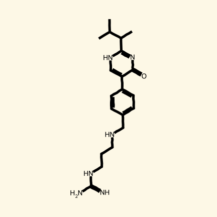 CC(C)C(C)c1nc(=O)c(-c2ccc(CNCCCNC(=N)N)cc2)c[nH]1